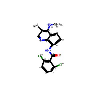 CCCc1cnc2c(NC(=O)c3c(Cl)cccc3Cl)cccc2c1NNC(C)=O